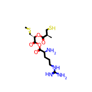 CSC[C@H](OC(=O)[C@H](C)CS)C(=O)OC(=O)[C@@H](N)CCCNC(=N)N